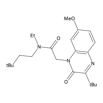 CCN(CCC(C)(C)C)C(=O)Cn1c(=O)c(C(C)(C)C)nc2ccc(OC)cc21